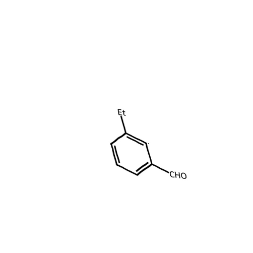 CCc1[c]c(C=O)ccc1